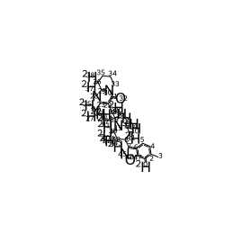 [2H]c1c(C)ccc2c(C3C([2H])([2H])C([2H])([2H])N(C([2H])([2H])C([2H])([2H])c4c(C([2H])([2H])[2H])nc5n(c4=O)CCCC5([2H])[2H])C([2H])([2H])C3([2H])[2H])noc12